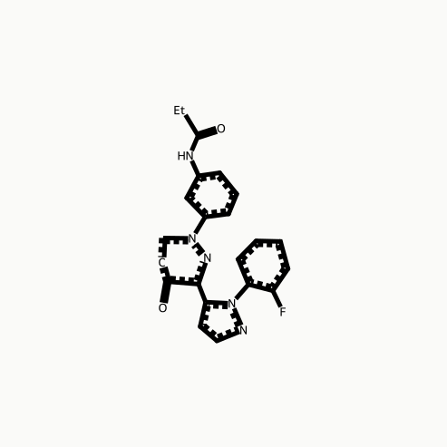 CCC(=O)Nc1cccc(-n2ccc(=O)c(-c3ccnn3-c3ccccc3F)n2)c1